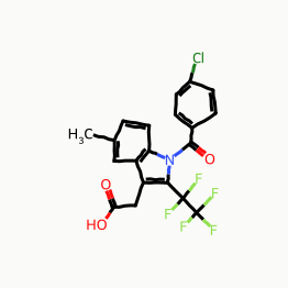 Cc1ccc2c(c1)c(CC(=O)O)c(C(F)(F)C(F)(F)F)n2C(=O)c1ccc(Cl)cc1